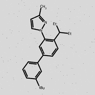 CCC(CC)c1ccc(-c2cccc(C(C)(C)C)c2)cc1-n1ccc(C)n1